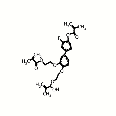 C=C(C)C(=O)OCCOc1cc(-c2ccc(OC(=O)C(=C)C)c(F)c2)ccc1OCCOC(O)C(=C)C